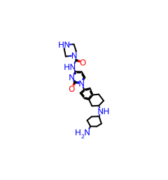 NC1CCC(NC2CCc3cc(-n4ccc(NC(=O)N5CCNCC5)nc4=O)ccc3C2)CC1